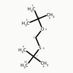 CC(C)(C)OCSC(C)(C)C